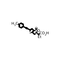 CCC(C(=O)O)N1Cc2sc(C#Cc3ccc(C)cc3)cc2S1(=O)=O